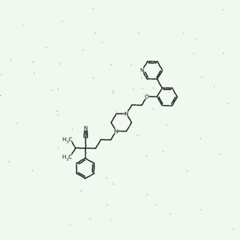 CC(C)C(C#N)(CCCN1CCN(CCOc2ccccc2-c2cccnc2)CC1)c1ccccc1